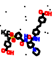 CC[C@@H](C1CCC(C(=O)O)CC1)S(=O)(=O)c1cccc(C(=O)Nc2ccc(N3CCCCC3)cc2C(=O)Nc2ccc(CCc3ccc(C(=O)O)cc3)cc2)c1